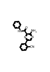 N#Cc1ccccc1-c1cnc(N)c(C(=O)Nc2ccccc2)n1